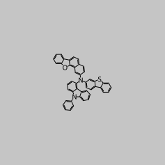 c1ccc(-n2c3ccccc3c3c(N(c4ccc5c(c4)sc4ccccc45)c4ccc5ccc6c7ccccc7oc6c5c4)cccc32)cc1